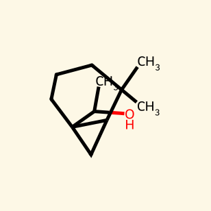 CC(O)C12CCCC(C)(C)C1C2